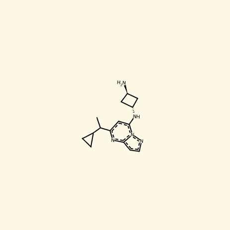 CC(c1cc(N[C@H]2C[C@H](N)C2)n2nccc2n1)C1CC1